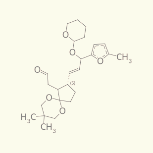 Cc1ccc(C(C=C[C@@H]2CCC3(OCC(C)(C)CO3)C2CC=O)OC2CCCCO2)o1